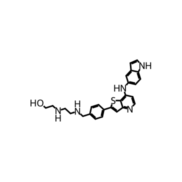 OCCNCCNCc1ccc(-c2cc3nccc(Nc4ccc5[nH]ccc5c4)c3s2)cc1